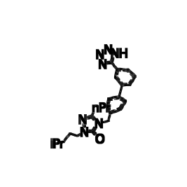 CCCc1nn(CCC(C)C)c(=O)n1Cc1ccc(-c2cccc(-c3nnn[nH]3)c2)cc1